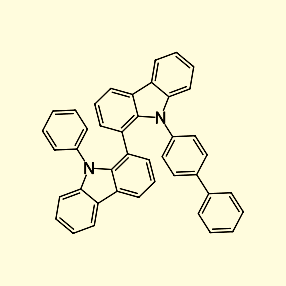 c1ccc(-c2ccc(-n3c4ccccc4c4cccc(-c5cccc6c7ccccc7n(-c7ccccc7)c56)c43)cc2)cc1